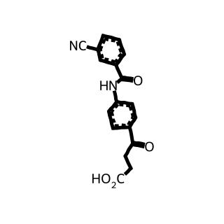 N#Cc1cccc(C(=O)Nc2ccc(C(=O)CCC(=O)O)cc2)c1